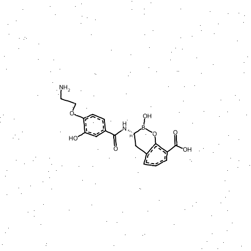 NCCOc1ccc(C(=O)N[C@H]2Cc3cccc(C(=O)O)c3OB2O)cc1O